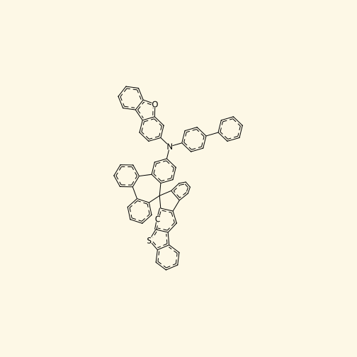 c1ccc(-c2ccc(N(c3ccc4c(c3)-c3ccccc3-c3ccccc3C43c4ccccc4-c4cc5c(cc43)sc3ccccc35)c3ccc4c(c3)oc3ccccc34)cc2)cc1